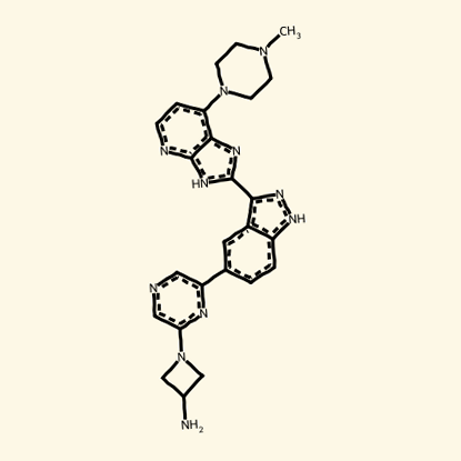 CN1CCN(c2ccnc3[nH]c(-c4n[nH]c5ccc(-c6cncc(N7CC(N)C7)n6)cc45)nc23)CC1